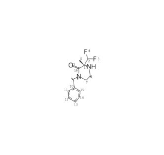 C[C@@]1(C(F)F)NCCN(Cc2ccccc2)C1=O